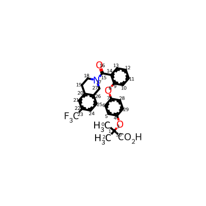 CC(C)(Oc1ccc(Oc2ccccc2C(=O)N2CCc3cc(C(F)(F)F)ccc3C2)cc1)C(=O)O